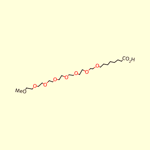 COCCOCCOCCOCCOCCOCCOCCOCCCCCCCC(=O)O